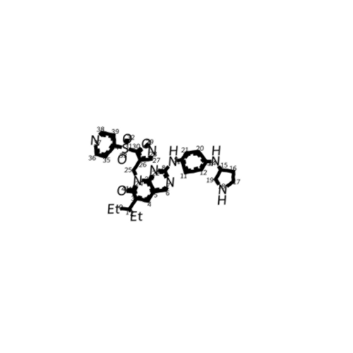 CCC(CC)c1cc2cnc(Nc3ccc(NC4CCNC4)cc3)nc2n(Cc2cnoc2S(=O)(=O)c2ccncc2)c1=O